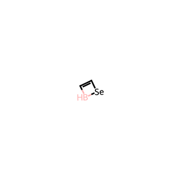 B1C=C[Se]1